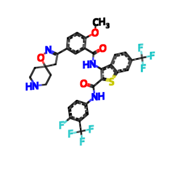 COc1ccc(C2=NOC3(CCNCC3)C2)cc1C(=O)Nc1c(C(=O)Nc2ccc(F)c(C(F)(F)F)c2)sc2cc(C(F)(F)F)ccc12